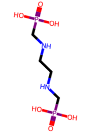 O=P(O)(O)CNCCNCP(=O)(O)O